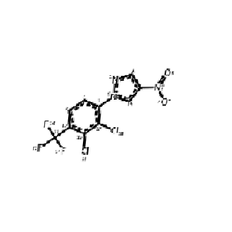 O=[N+]([O-])c1cnn(-c2ccc(C(F)(F)F)c(Cl)c2Cl)c1